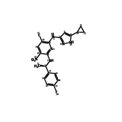 C[C@@H](Nc1nc(Nc2cc(C3CC3)[nH]n2)c(F)cc1[N+](=O)[O-])c1ccc(F)cc1